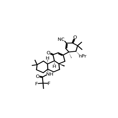 CCC[C@H]1C(C)(C)C(=O)C(C#N)=C[C@]1(C)C1=CC(=O)[C@@H]2[C@@H]3CC(C)(C)CC[C@]3(NC(=O)C(C)(F)F)CC[C@@]2(C)C1